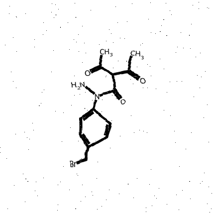 CC(=O)C(C(C)=O)C(=O)N(N)c1ccc(CBr)cc1